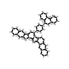 c1ccc2cc3c(ccc4c3nc3c5sc6cc7ccccc7cc6c5cc(-c5ccc(-c6cc7cccnc7c7ccccc67)cc5)n43)cc2c1